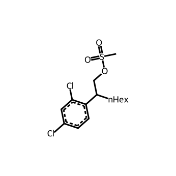 CCCCCCC(COS(C)(=O)=O)c1ccc(Cl)cc1Cl